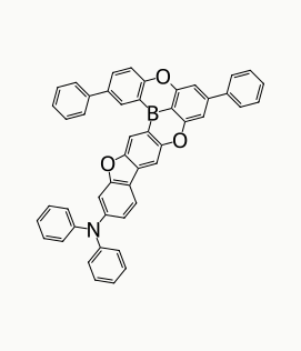 c1ccc(-c2cc3c4c(c2)Oc2cc5c(cc2B4c2cc(-c4ccccc4)ccc2O3)oc2cc(N(c3ccccc3)c3ccccc3)ccc25)cc1